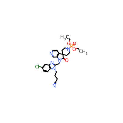 CCOP(=O)(OCC)N1CCC2(CC1)C(=O)N(Cc1nc3cc(Cl)ccc3n1CCCC#N)c1cnccc12